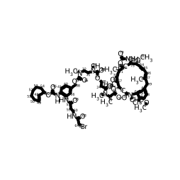 COc1cc2cc(c1Cl)N(C)C(=O)C[C@H](OC(=O)[C@H](C)N(C)C(=O)CCOC(=O)N(C)CCN(C)C(=O)OCc1ccc(NC(=O)OC3/C=C/CCCCC3)c(NC(=O)CCNC(=O)CBr)c1)[C@]1(C)OC1[C@H](C)[C@@H]1C[C@@](O)(NC(=O)O1)[C@H](OC)/C=C/C=C(\C)C2